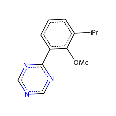 COc1c(-c2ncncn2)cccc1C(C)C